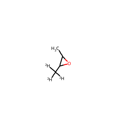 [2H]C([2H])([2H])C1OC1C